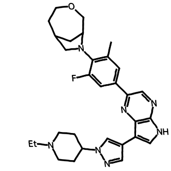 CCN1CCC(n2cc(-c3c[nH]c4ncc(-c5cc(C)c(N6CC7CCOCC6C7)c(F)c5)nc34)cn2)CC1